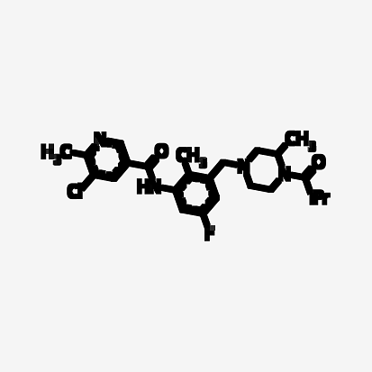 Cc1ncc(C(=O)Nc2cc(F)cc(CN3CCN(C(=O)C(C)C)C(C)C3)c2C)cc1Cl